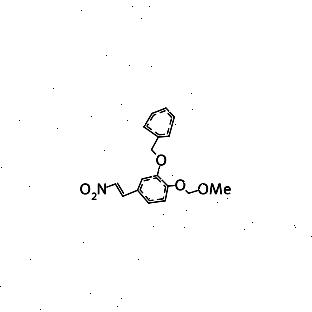 COCOc1ccc(C=C[N+](=O)[O-])cc1OCc1ccccc1